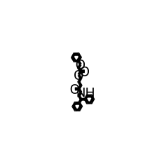 O=C(CCCOC(=O)COc1ccccc1)NCC(c1ccccc1)c1ccccc1